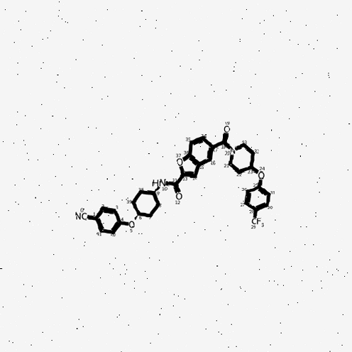 N#Cc1ccc(O[C@H]2CC[C@H](NC(=O)c3cc4cc(C(=O)N5CCC(Oc6ccc(C(F)(F)F)cc6)CC5)ccc4o3)CC2)cc1